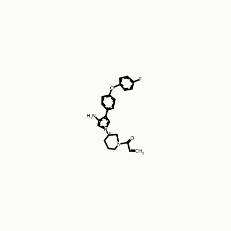 C=CC(=O)N1CCC[C@@H](n2cc(N)c(-c3ccc(Oc4ccc(F)cc4)cc3)c2)C1